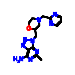 Cc1nc(N)c2nnn(CC3CN(Cc4ncccn4)CCO3)c2n1